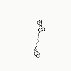 O=C(OCCCCCCCCN1CCOCC1)n1ccnc1